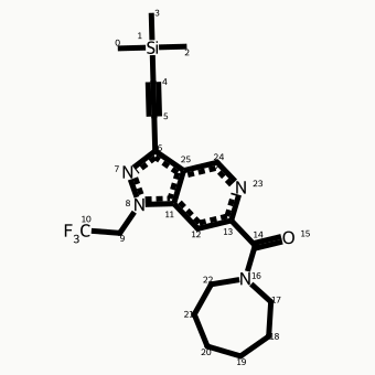 C[Si](C)(C)C#Cc1nn(CC(F)(F)F)c2cc(C(=O)N3CCCCCC3)ncc12